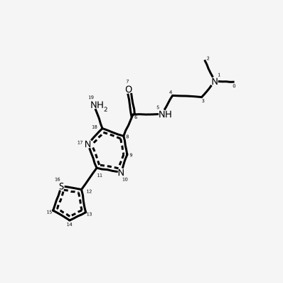 CN(C)CCNC(=O)c1cnc(-c2cccs2)nc1N